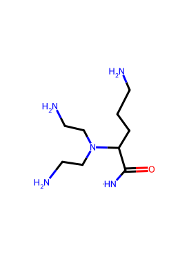 [NH]C(=O)C(CCCN)N(CCN)CCN